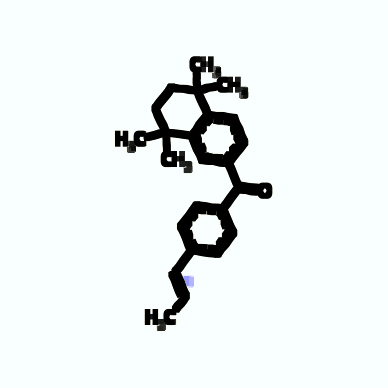 C/C=C/c1ccc(C(=O)c2ccc3c(c2)C(C)(C)CCC3(C)C)cc1